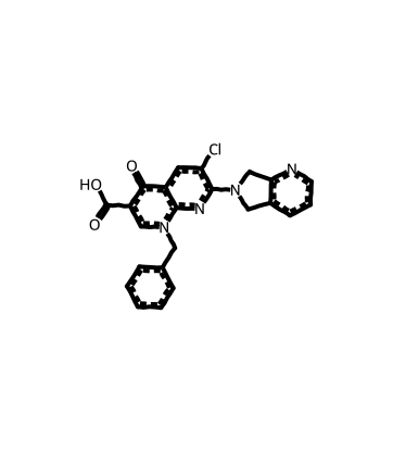 O=C(O)c1cn(Cc2ccccc2)c2nc(N3Cc4cccnc4C3)c(Cl)cc2c1=O